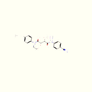 Cc1ccc(N2CCO[C@H]([C@@H](O)C(=O)Nc3ccc(C#N)cc3)C2=O)cc1